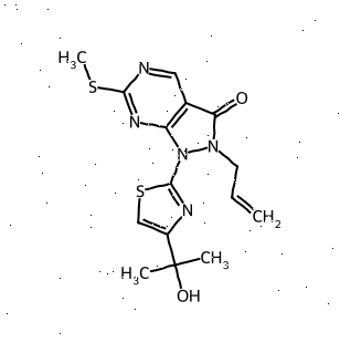 C=CCn1c(=O)c2cnc(SC)nc2n1-c1nc(C(C)(C)O)cs1